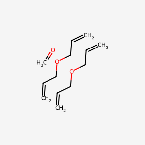 C=CCOCC=C.C=CCOCC=C.C=O